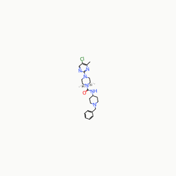 Cc1nc(N2C[C@@H](C)N(C(=O)NC3CCN(Cc4ccccc4)CC3)[C@@H](C)C2)ncc1Cl